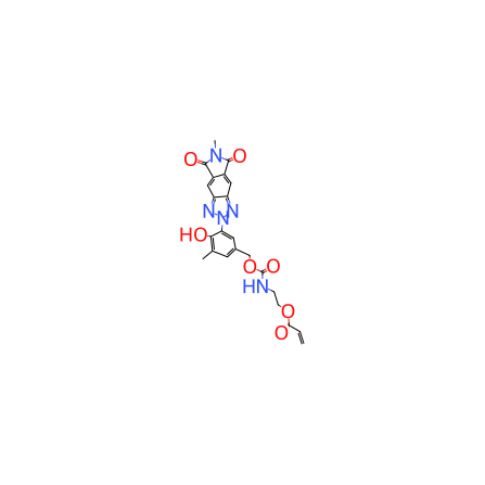 C=CC(=O)OCCNC(=O)OCc1cc(C)c(O)c(-n2nc3cc4c(cc3n2)C(=O)N(C)C4=O)c1